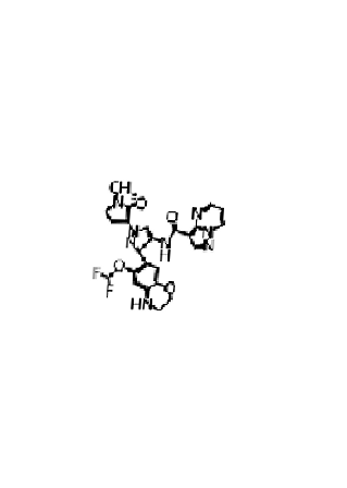 CN1CC[C@H](n2cc(NC(=O)c3cnn4cccnc34)c(-c3cc4c(cc3OC(F)F)NCCO4)n2)C1=O